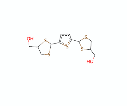 OCC1CSC(c2ccc(C3SCC(CO)S3)s2)S1